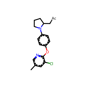 CC(=O)CC1CCCN1c1ccc(Oc2ncc(C)cc2Cl)cc1